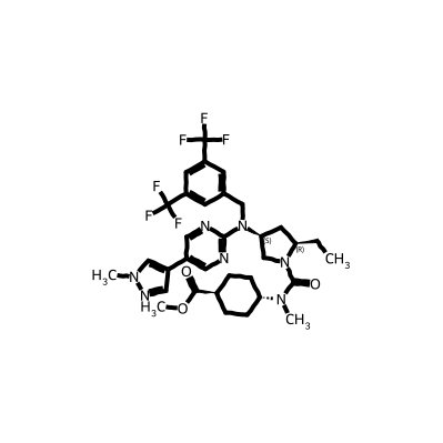 CC[C@@H]1C[C@H](N(Cc2cc(C(F)(F)F)cc(C(F)(F)F)c2)c2ncc(-c3cnn(C)c3)cn2)CN1C(=O)N(C)[C@H]1CC[C@H](C(=O)OC)CC1